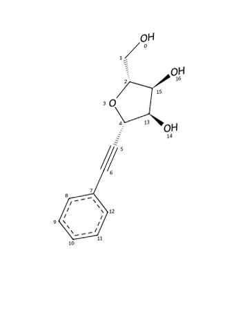 OC[C@H]1O[C@@H](C#Cc2ccccc2)[C@H](O)[C@@H]1O